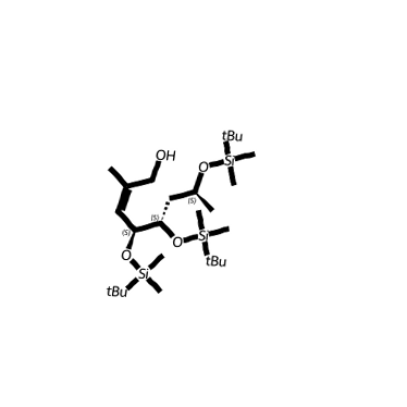 CC(=C[C@H](O[Si](C)(C)C(C)(C)C)[C@H](C[C@H](C)O[Si](C)(C)C(C)(C)C)O[Si](C)(C)C(C)(C)C)CO